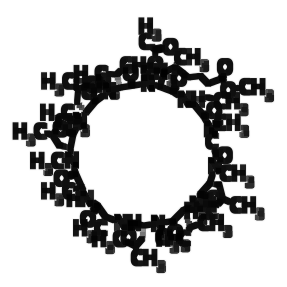 CC[C@H]1NC(=O)[C@H]([C@H](OC(C)=O)[C@H](C)CCCC(=O)OC)N(C)C(=O)[C@@H](C(C)C)N(C)C(=O)[C@@H](CC(C)C)N(C)C(=O)[C@H](CC(C)C)N(C)C(=O)[C@H](C)NC(=O)[C@@H](C)NC(=O)[C@@H](CC(C)C)N(C)C(=O)[C@@H](C(C)C)NC(=O)[C@H](CC(C)C)N(C)C(=O)CN(C)C1=O